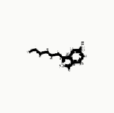 [CH2]CCCCCc1scc2ccc(F)cc12